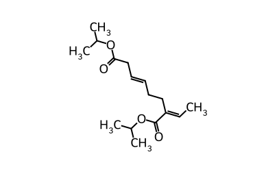 C/C=C(\CC/C=C/CC(=O)OC(C)C)C(=O)OC(C)C